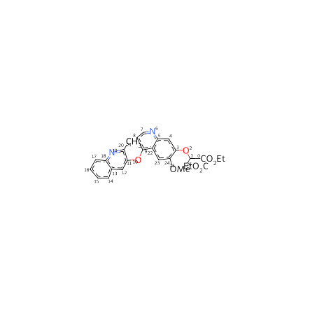 CCOC(=O)C(Oc1cc2nccc(Oc3cc4ccccc4nc3C)c2cc1OC)C(=O)OCC